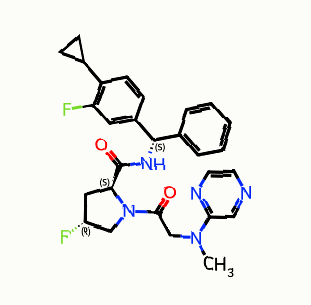 CN(CC(=O)N1C[C@H](F)C[C@H]1C(=O)N[C@@H](c1ccccc1)c1ccc(C2CC2)c(F)c1)c1cnccn1